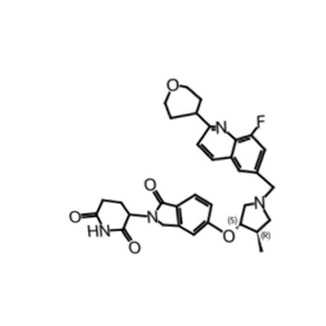 C[C@@H]1CN(Cc2cc(F)c3nc(C4CCOCC4)ccc3c2)C[C@H]1Oc1ccc2c(c1)CN(C1CCC(=O)NC1=O)C2=O